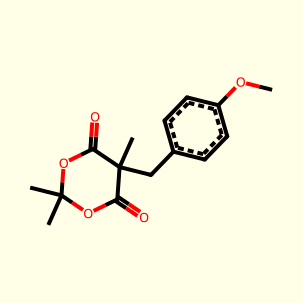 COc1ccc(CC2(C)C(=O)OC(C)(C)OC2=O)cc1